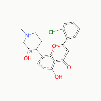 CN1CCC(c2ccc(O)c3c(=O)cc(-c4ccccc4Cl)oc23)[C@H](O)C1